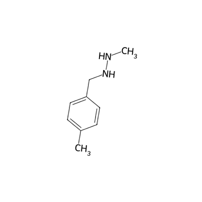 CNNCc1ccc(C)cc1